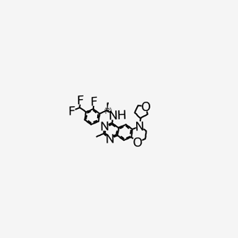 Cc1nc(N[C@H](C)c2cccc(C(F)F)c2F)c2cc3c(cc2n1)OCCN3C1CCOC1